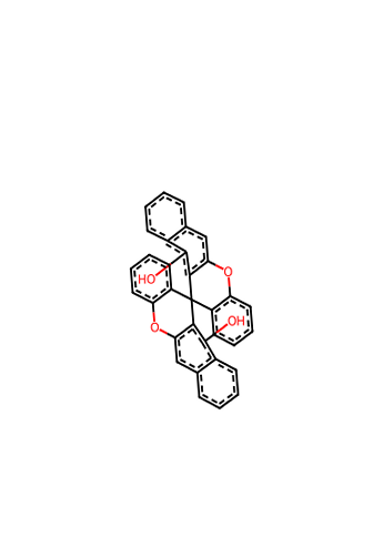 Oc1c2c(cc3ccccc13)Oc1ccccc1C21c2ccccc2Oc2cc3ccccc3c(O)c21